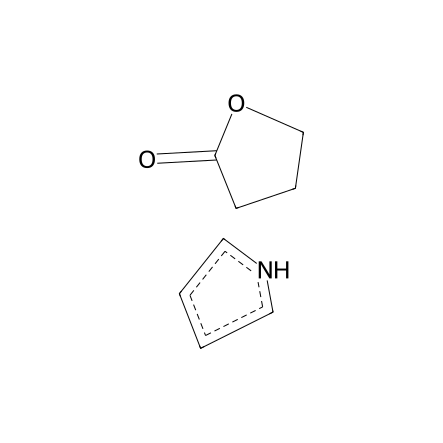 O=C1CCCO1.c1cc[nH]c1